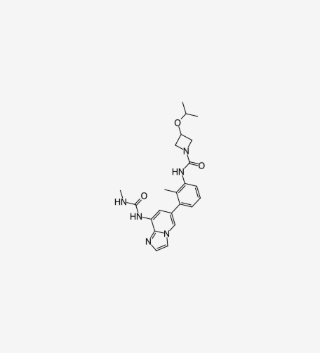 CNC(=O)Nc1cc(-c2cccc(NC(=O)N3CC(OC(C)C)C3)c2C)cn2ccnc12